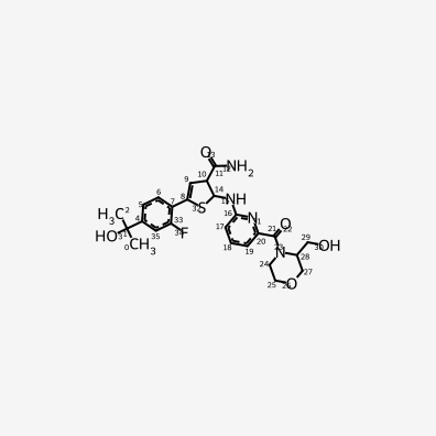 CC(C)(O)c1ccc(C2=CC(C(N)=O)C(Nc3cccc(C(=O)N4CCOCC4CO)n3)S2)c(F)c1